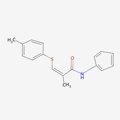 CC(=CSc1ccc(C)cc1)C(=O)Nc1ccccc1